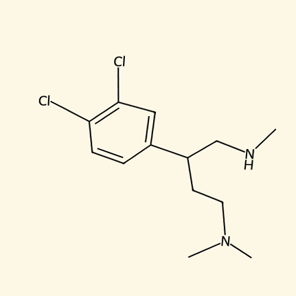 CNCC(CCN(C)C)c1ccc(Cl)c(Cl)c1